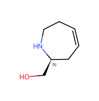 OC[C@@H]1CC=CCCN1